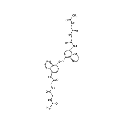 CC(=O)NCC(=O)NCC(=O)Nc1ccc(SSc2ccc(NC(=O)CNC(=O)CNC(C)=O)c3cccnc23)c2ncccc12